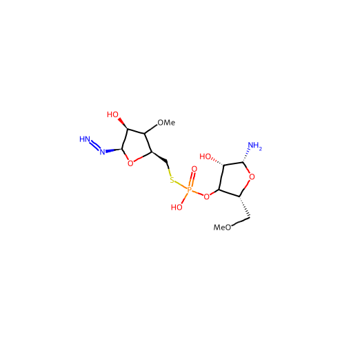 COC[C@H]1O[C@@H](N)[C@@H](O)C1OP(=O)(O)SC[C@H]1O[C@@H](N=N)[C@@H](O)C1OC